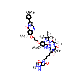 C=CNC(=O)c1cc(OC)c(OCCCOc2cc3c(cc2OC)C(=O)N2C=C(c4ccc(OC)cc4)CC2C=N3)cc1N1C(NC(=O)[C@H](C)NC(=O)[C@@H](NC(=O)CCCCCN2C(=O)CC(NN(CC)CC)C2=O)C(C)C)C(C)(C)[C@H]1C